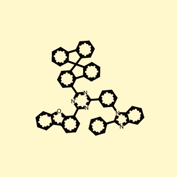 c1ccc(-c2nc3ccccc3n2-c2cccc(-c3nc(-c4cccc5c4-c4ccccc4C54c5ccccc5-c5ccccc54)nc(-c4cccc5c4oc4ccccc45)n3)c2)cc1